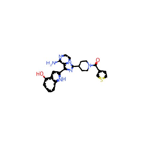 Nc1nccn2c(C3CCN(C(=O)c4ccsc4)CC3)nc(-c3cc4c(O)cccc4[nH]3)c12